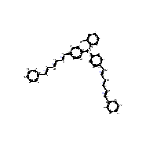 Cc1ccccc1N(c1ccc(/C=C/C=C/C=C/c2ccccc2)cc1)c1ccc(/C=C/C=C/C=C/c2ccccc2)cc1